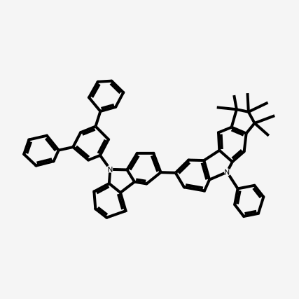 CC1(C)c2cc3c4cc(-c5ccc6c(c5)c5ccccc5n6-c5cc(-c6ccccc6)cc(-c6ccccc6)c5)ccc4n(-c4ccccc4)c3cc2C(C)(C)C1(C)C